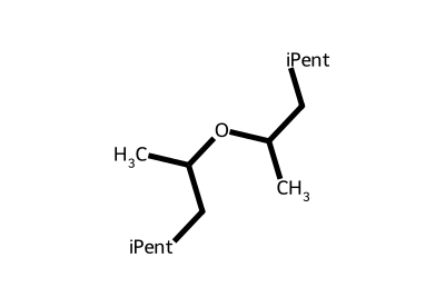 CCCC(C)CC(C)OC(C)CC(C)CCC